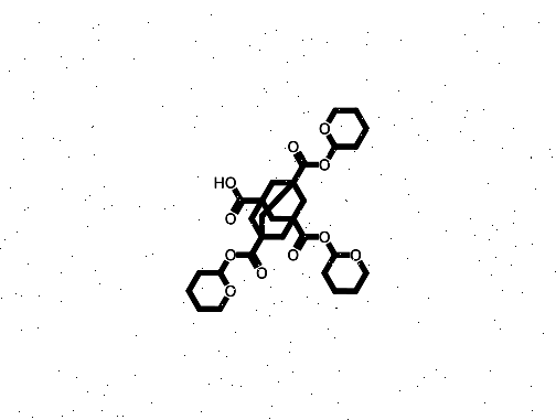 O=C(O)C12CC3(C(=O)OC4CCCCO4)CC(C(=O)OC4CCCCO4)(C1)CC(C(=O)OC1CCCCO1)(C2)C3